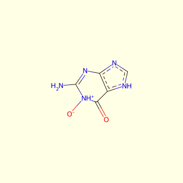 NC1=Nc2nc[nH]c2C(=O)[NH+]1[O-]